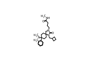 CNC(=O)CCCN1CC2(CCC(c3ccccc3)(N(C)C)CC2)N(CC2CCC2)C1=O